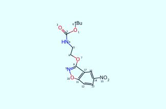 CC(C)(C)OC(=O)NCCOc1noc2ccc([N+](=O)[O-])cc12